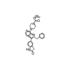 CC(C)(C)OC(=O)N1CCN(c2nccn3c(-c4ccc5c(c4)CC(=O)N5)c(Cc4ccccc4)nc23)CC1